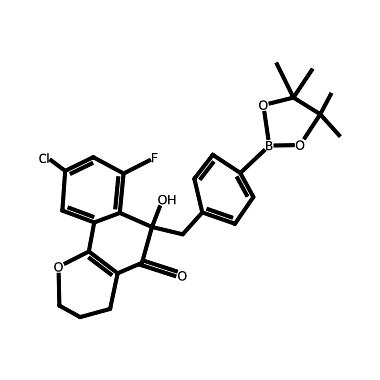 CC1(C)OB(c2ccc(CC3(O)C(=O)C4=C(OCCC4)c4cc(Cl)cc(F)c43)cc2)OC1(C)C